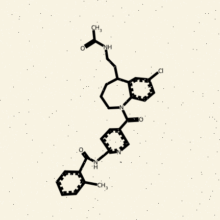 CC(=O)NCCC1CCCN(C(=O)c2ccc(NC(=O)c3ccccc3C)nc2)c2ccc(Cl)cc21